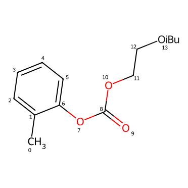 Cc1ccccc1OC(=O)OCCOCC(C)C